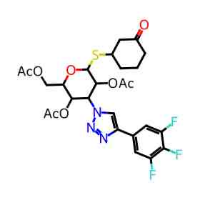 CC(=O)OCC1OC(SC2CCCC(=O)C2)C(OC(C)=O)C(n2cc(-c3cc(F)c(F)c(F)c3)nn2)C1OC(C)=O